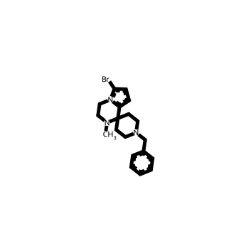 CN1CCn2c(Br)ccc2C12CCN(Cc1ccccc1)CC2